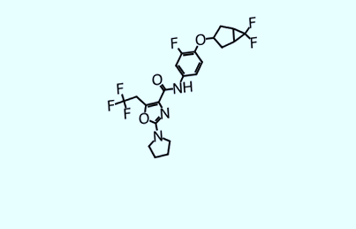 O=C(Nc1ccc(OC2CC3C(C2)C3(F)F)c(F)c1)c1nc(N2CCCC2)oc1CC(F)(F)F